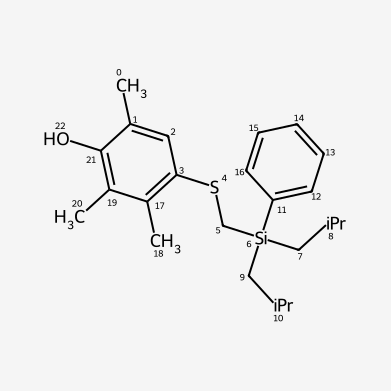 Cc1cc(SC[Si](CC(C)C)(CC(C)C)c2ccccc2)c(C)c(C)c1O